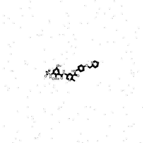 COc1c(NS(C)(=O)=O)cc(C(C)(C)C)cc1C(=O)Nc1cnc(C)c(C(=O)Nc2ccc(OCc3ccccn3)cc2)c1